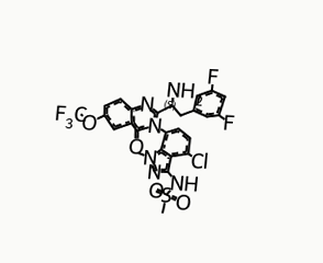 Cn1nc(NS(C)(=O)=O)c2c(Cl)ccc(-n3c([C@@H](N)Cc4cc(F)cc(F)c4)nc4ccc(OC(F)(F)F)cc4c3=O)c21